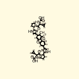 Cc1c(-c2c[nH]c([C@@H]3CCCN3C(=O)[C@@H](NC(=O)O)C3CC3)n2)cc2oc3cc(-c4c[nH]c(C5CCCN5C(=O)C(NC(=O)O)C5CC5)n4)ccc3c2c1C